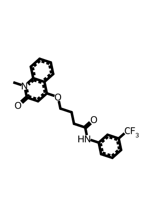 Cn1c(=O)cc(OCCCC(=O)Nc2cccc(C(F)(F)F)c2)c2ccccc21